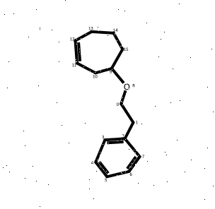 [CH](Cc1ccccc1)OC1CC=CCCC1